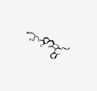 CCC/N=C1\S/C(=C/c2ccc(OCC(O)CO)c(Cl)c2)C(=O)N1c1ccccc1C